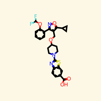 O=C(O)c1ccc2nc(N3CCC(OCc4c(-c5ccccc5OC(F)F)noc4C4CC4)CC3)sc2c1